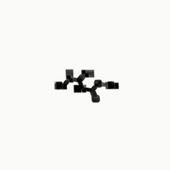 CCC(C)NC(=N)NC(=O)OC(C)(C)C